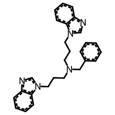 c1ccc(CN(CCCn2cnc3ccccc32)CCCn2cnc3ccccc32)cc1